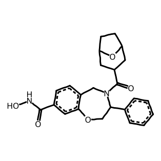 O=C(NO)c1ccc2c(c1)OCC(c1ccccc1)N(C(=O)C1CC3CCC(C1)O3)C2